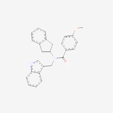 CCOc1ccc(C(=O)N(Cc2c[nH]c3ccccc23)C2Cc3ccccc3C2)cc1